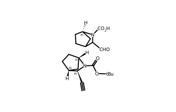 C#C[C@H]1[C@@H]2CC[C@@H](C2)N1C(=O)OC(C)(C)C.O=CC1C2CC[C@H](C2)N1C(=O)O